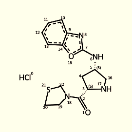 Cl.O=C([C@@H]1C[C@H](Nc2nc3ccccc3o2)CN1)N1CCSC1